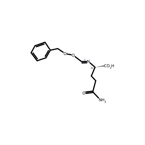 NC(=O)CC[C@H](/N=C/OOCc1ccccc1)C(=O)O